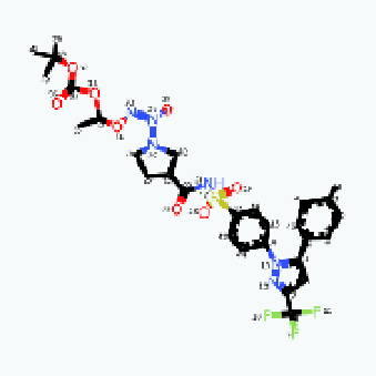 Cc1ccc(-c2cc(C(F)(F)F)nn2-c2ccc(S(=O)(=O)NC(=O)C3CCN(/[N+]([O-])=N\OC(C)OC(=O)OC(C)(C)C)C3)cc2)cc1